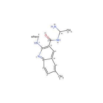 CCCCCNc1nc2ccc(C)cc2cc1C(=O)NC(C)N